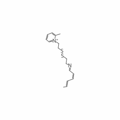 C/C=C/C=C\C=N\CCSSCC[n+]1ccccc1C